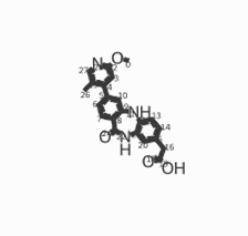 COc1cc(-c2ccc3c(c2)Nc2ccc(CC(=O)O)cc2NC3=O)c(C)cn1